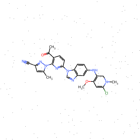 COC1=C(Nc2ccc3c(c2)ncn3-c2ccc(C(C)=O)c(-n3nc(C#N)cc3C)n2)CN(C)C(Cl)=C1